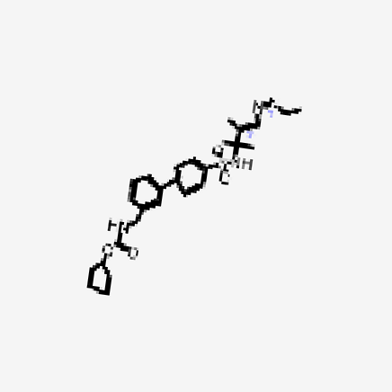 CC/N=N\C=C(/C)C(C)(C)NS(=O)(=O)c1ccc(-c2cccc(CNC(=O)OC3CCCC3)c2)cc1